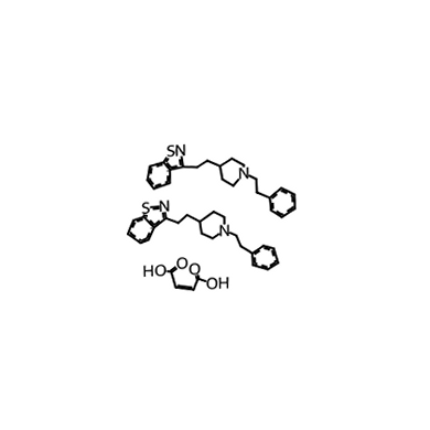 O=C(O)/C=C\C(=O)O.c1ccc(CCN2CCC(CCc3nsc4ccccc34)CC2)cc1.c1ccc(CCN2CCC(CCc3nsc4ccccc34)CC2)cc1